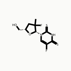 CC1(F)C[C@@H](CO)O[C@H]1n1cc(F)c(=S)[nH]c1=S